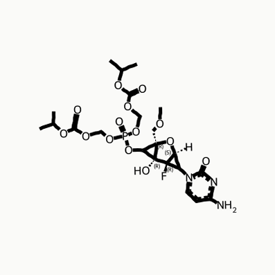 COC[C@]12O[C@H]3C(n4ccc(N)nc4=O)[C@]3(F)[C@@]1(O)C2OP(=O)(OCOC(=O)OC(C)C)OCOC(=O)OC(C)C